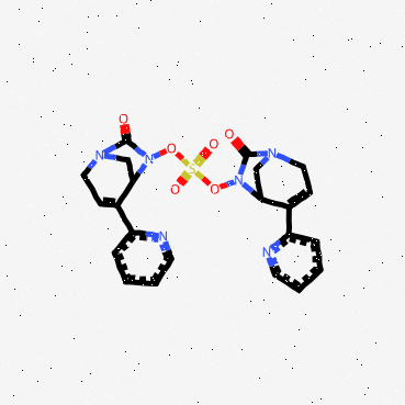 O=C1N2CC=C(c3ccccn3)C(C2)N1OS(=O)(=O)ON1C(=O)N2CC=C(c3ccccn3)C1C2